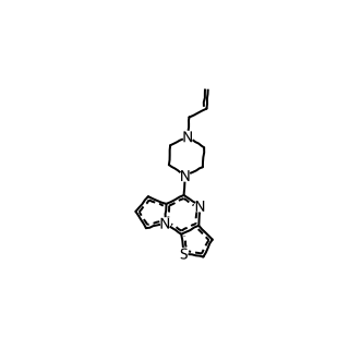 C=CCN1CCN(c2nc3ccsc3n3cccc23)CC1